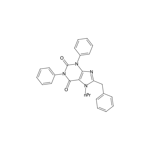 CCCn1c(Cc2ccccc2)nc2c1c(=O)n(-c1ccccc1)c(=O)n2-c1ccccc1